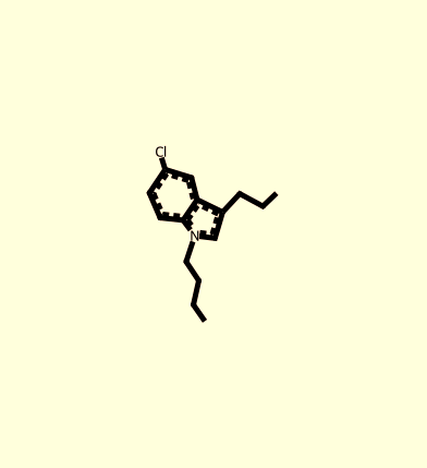 CCCCn1cc(CCC)c2cc(Cl)ccc21